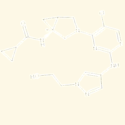 O=C(N[C@]12CC1CN(c1nc(Nc3cnn(CCO)c3)ncc1Cl)C2)C1CC1